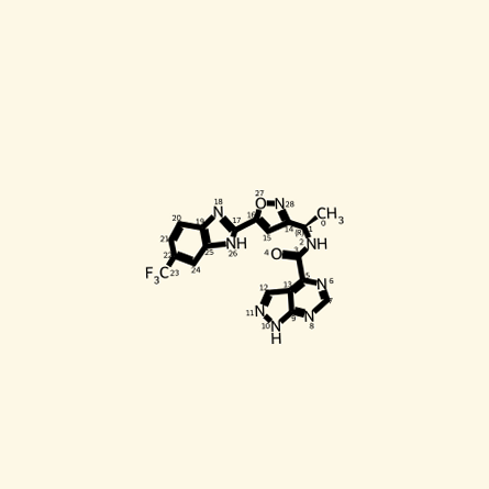 C[C@@H](NC(=O)c1ncnc2[nH]ncc12)c1cc(-c2nc3ccc(C(F)(F)F)cc3[nH]2)on1